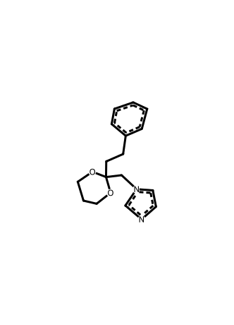 c1ccc(CCC2(Cn3ccnc3)OCCCO2)cc1